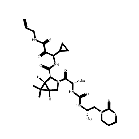 C=CCNC(=O)C(=O)C(NC(=O)[C@@H]1[C@@H]2[C@H](CN1C(=O)[C@@H](NC(=O)N[C@H](CN1CCCOC1=O)C(C)(C)C)C(C)(C)C)C2(C)C)C1CC1